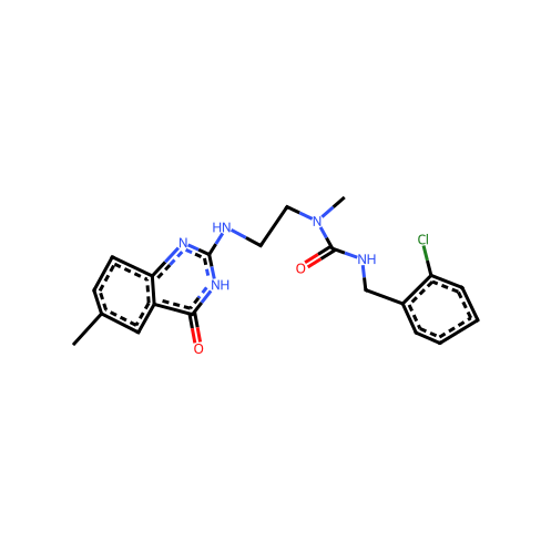 Cc1ccc2nc(NCCN(C)C(=O)NCc3ccccc3Cl)[nH]c(=O)c2c1